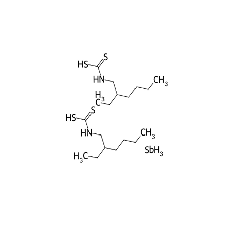 CCCCC(CC)CNC(=S)S.CCCCC(CC)CNC(=S)S.[SbH3]